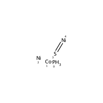 P.[Co].[Ni].[S]=[Ni]